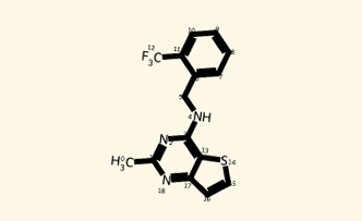 Cc1nc(NCc2ccccc2C(F)(F)F)c2sccc2n1